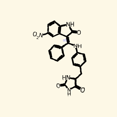 O=C1NC(=O)C(Cc2ccc(N/C(=C3\C(=O)Nc4ccc([N+](=O)[O-])cc43)c3ccccc3)cc2)N1